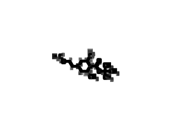 COCCN1C[C@@H](C)N(C(=O)OC(C)(C)C)[C@H](C)C1